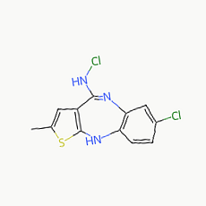 Cc1cc2c(s1)Nc1ccc(Cl)cc1N=C2NCl